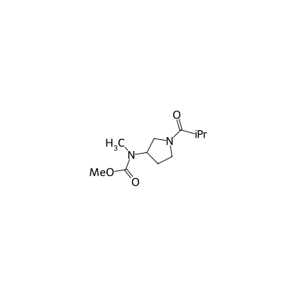 COC(=O)N(C)C1CCN(C(=O)C(C)C)C1